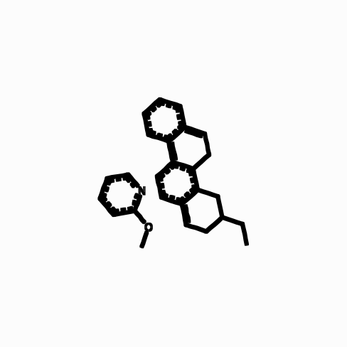 CCC1CC=c2ccc3c(c2C1)CC=c1ccccc1=3.COc1ccccn1